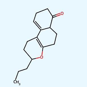 CCCC1CCC2=C(CCC3C(=O)CCC=C23)O1